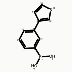 OB(O)c1cccc(-c2ccsc2)c1